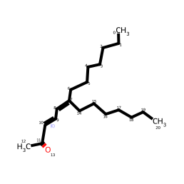 CCCCCCCC(=C/C=C/C(C)=O)CCCCCCC